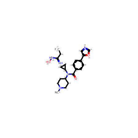 N#CN1CCC(N(C(=O)c2ccc(-c3cnco3)cc2)C2CC2)CC1.N=C(CC(F)(F)F)NO